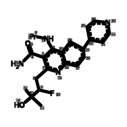 CC(C)Nc1c(C(N)=O)c(CC(F)C(C)(C)O)nc2ccc(-c3ccncc3)cc12